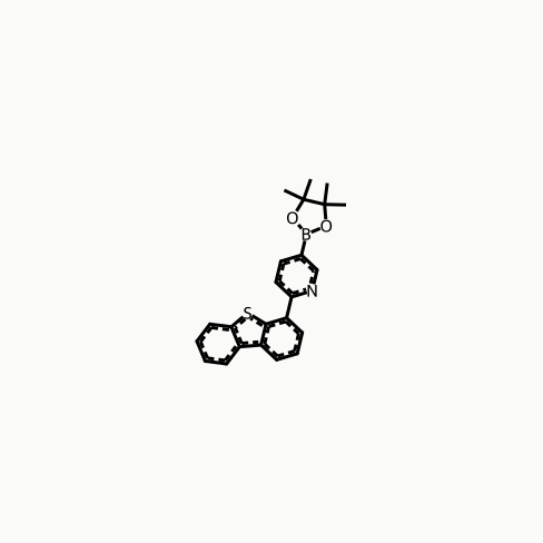 CC1(C)OB(c2ccc(-c3cccc4c3sc3ccccc34)nc2)OC1(C)C